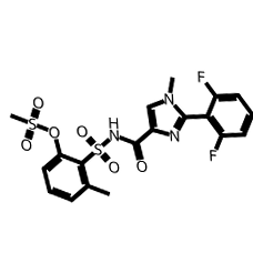 Cc1cccc(OS(C)(=O)=O)c1S(=O)(=O)NC(=O)c1cn(C)c(-c2c(F)cccc2F)n1